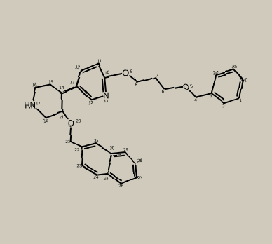 c1ccc(COCCCOc2ccc(C3CCNCC3OCc3ccc4ccccc4c3)cn2)cc1